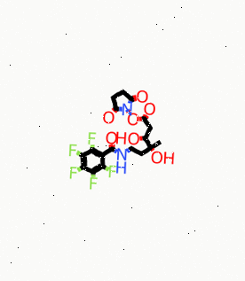 CC(O)(CCNC(=O)c1c(F)c(F)c(F)c(F)c1F)C(O)CC(=O)ON1C(=O)CCC1=O